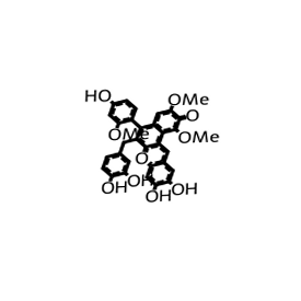 COc1cc(O)ccc1-c1c(Cc2ccc(O)c(O)c2)c2oc3cc(O)c(O)cc3cc2c2c(OC)c(=O)c(OC)cc12